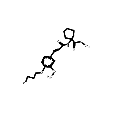 COC(=O)C1(NC(=O)C=Cc2ccc(OCCCCl)c(OC)c2)CCCCC1